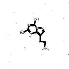 NCCc1cnn2c(O)nc(S)nc12